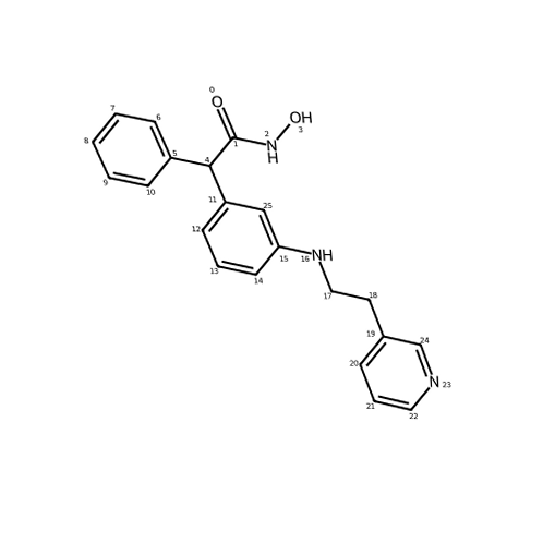 O=C(NO)C(c1ccccc1)c1cccc(NCCc2cccnc2)c1